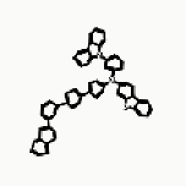 c1cc(-c2ccc(-c3ccc(N(c4cccc(-n5c6ccccc6c6ccccc65)c4)c4ccc5c(c4)sc4ccccc45)cc3)cc2)cc(-c2ccc3ccccc3c2)c1